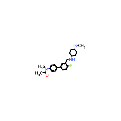 CN[C@H]1CC[C@H](NCc2cc(-c3ccc(N(C)C(C)=O)cc3)ccc2F)CC1